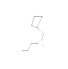 CC(C)(C)N(CCC#N)CC1CCC1